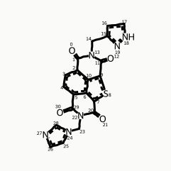 O=C1c2ccc3c4c(sc(c24)C(=O)N1Cc1cc[nH]n1)C(=O)N(Cn1ccnc1)C3=O